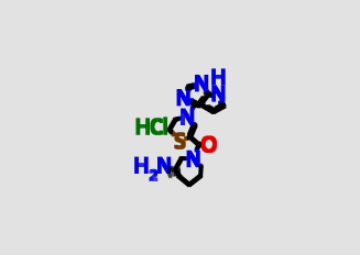 Cl.N[C@H]1CCCCN(C(=O)C2=CN(c3ncnc4[nH]ccc34)CCS2)C1